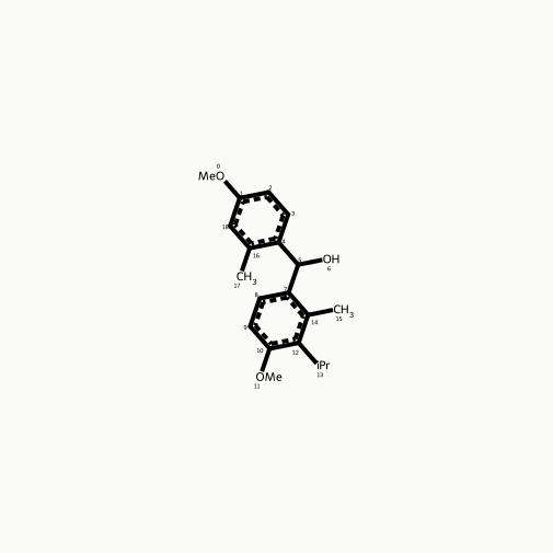 COc1ccc(C(O)c2ccc(OC)c(C(C)C)c2C)c(C)c1